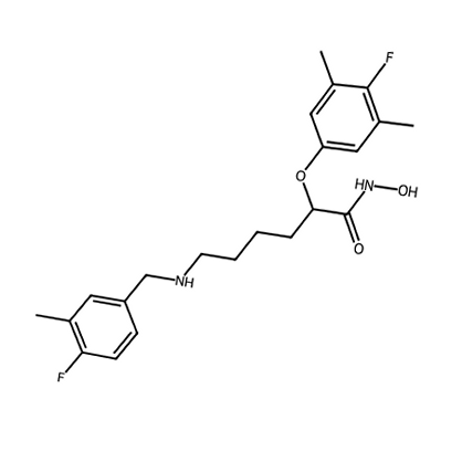 Cc1cc(CNCCCCC(Oc2cc(C)c(F)c(C)c2)C(=O)NO)ccc1F